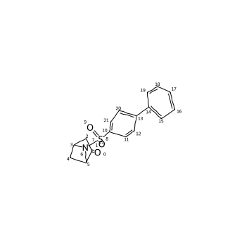 O=C1CC2CC1N2S(=O)(=O)c1ccc(-c2ccccc2)cc1